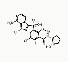 Cc1nc([C@@](C)(O)c2cc(Cl)c(F)c(C(=O)N[C@@H]3CCC[C@@H]3O)c2OC(C)C)n2ccnc(N)c12